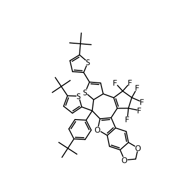 CC(C)(C)c1ccc(C2(c3ccc(C(C)(C)C)s3)c3oc4cc5c(cc4c3C3=C(C4C=C(c6ccc(C(C)(C)C)s6)SC42)C(F)(F)C(F)(F)C3(F)F)OCO5)cc1